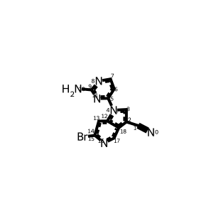 N#Cc1cn(-c2ccnc(N)n2)c2cc(Br)ncc12